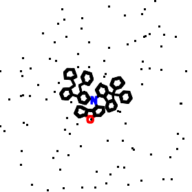 c1ccc(Cc2ccccc2-c2ccc(N(c3cccc4c3-c3ccccc3C4(c3ccccc3)c3ccccc3)c3cccc4oc5ccccc5c34)cc2Cc2ccccc2)cc1